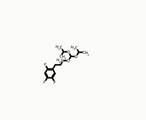 CC(C)OC(O[SiH2]CCc1cc(F)c(F)cc1F)OC(C)C